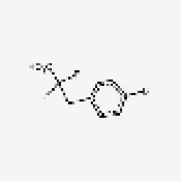 O=C(O)C(F)(F)Cc1ccc(Br)cc1